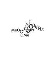 CCN1CCN(c2ccc(Nc3ncc4cc(-c5cc(OC)cc(OC)c5)c5cnn(C(C)C)c5c4n3)nc2)CC1